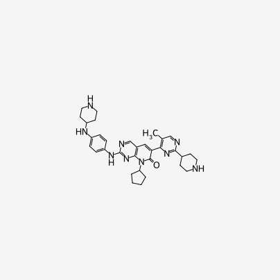 Cc1cnc(C2CCNCC2)nc1-c1cc2cnc(Nc3ccc(NC4CCNCC4)cc3)nc2n(C2CCCC2)c1=O